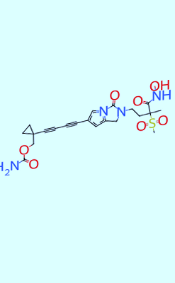 CC(CCN1Cc2cc(C#CC#CC3(COC(N)=O)CC3)cn2C1=O)(C(=O)NO)S(C)(=O)=O